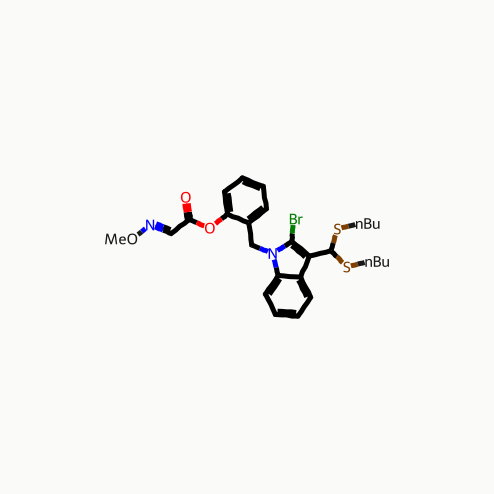 CCCCSC(SCCCC)c1c(Br)n(Cc2ccccc2OC(=O)C=NOC)c2ccccc12